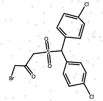 O=C(CBr)CS(=O)(=O)C(c1ccc(Cl)cc1)c1ccc(Cl)cc1